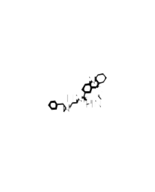 CN(CCCNC(=O)c1ccc2nc3c(c(SCC=N)c2c1)CCCC3)Cc1ccccc1